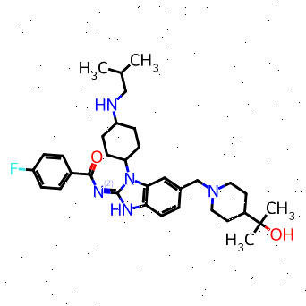 CC(C)CNC1CCC(n2/c(=N\C(=O)c3ccc(F)cc3)[nH]c3ccc(CN4CCC(C(C)(C)O)CC4)cc32)CC1